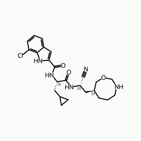 N#C[C@H](C[C@@H]1CCCNCOC1)NC(=O)[C@H](CC1CC1)NC(=O)c1cc2cccc(Cl)c2[nH]1